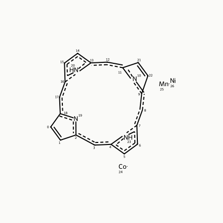 C1=Cc2cc3ccc(cc4nc(cc5ccc(cc1n2)[nH]5)C=C4)[nH]3.[Co].[Mn].[Ni]